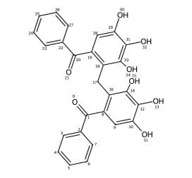 O=C(c1ccccc1)c1cc(O)c(O)c(O)c1Cc1c(C(=O)c2ccccc2)cc(O)c(O)c1O